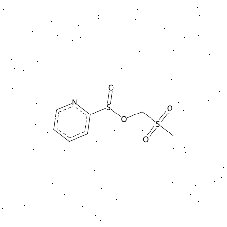 CS(=O)(=O)COS(=O)c1ccccn1